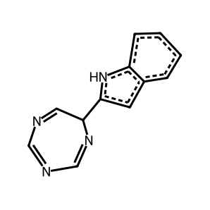 C1=NC=NC(c2cc3ccccc3[nH]2)C=N1